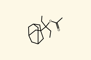 CCC(CC)(OC(C)=O)C12CC3CC(CC(C3)C1)C2